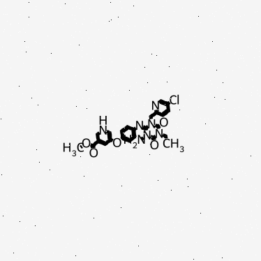 CCn1c(=O)n(N)/c(=N\c2ccc(OC3=CNCC(C(=O)OC)=C3)cc2)n(Cc2ccc(Cl)cn2)c1=O